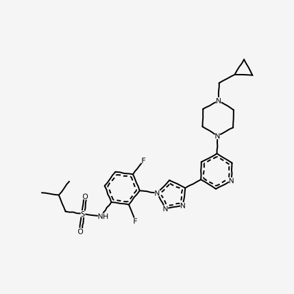 CC(C)CS(=O)(=O)Nc1ccc(F)c(-n2cc(-c3cncc(N4CCN(CC5CC5)CC4)c3)nn2)c1F